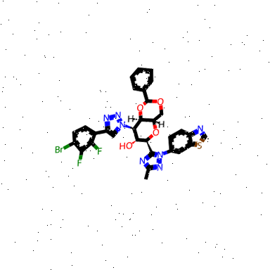 Cc1nc([C@@H]2O[C@@H]3COC(c4ccccc4)O[C@@H]3[C@H](n3cc(-c4ccc(Br)c(F)c4F)nn3)[C@H]2O)n(-c2ccc3ncsc3c2)n1